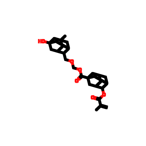 C=C(C)C(=O)OC1C2CC3CC1CC(C(=O)OCOCC1C4CC5(C)CC1CC(O)(C4)C5)(C3)C2